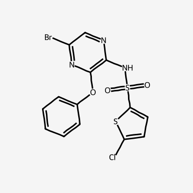 O=S(=O)(Nc1ncc(Br)nc1Oc1ccccc1)c1ccc(Cl)s1